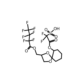 O=C(OCC1COC2(CCCCC2OC(=O)C(F)(F)S(=O)(=O)O)O1)C(F)(F)C(F)(F)C(F)(F)F